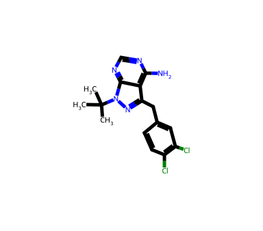 CC(C)(C)n1nc(Cc2ccc(Cl)c(Cl)c2)c2c(N)ncnc21